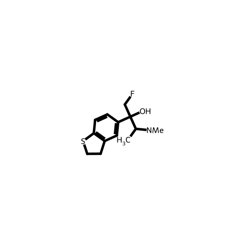 CNC(C)C(O)(CF)c1ccc2c(c1)CCS2